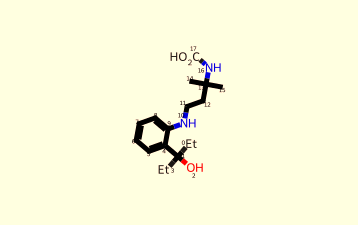 CCC(O)(CC)c1ccccc1NCCC(C)(C)NC(=O)O